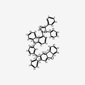 c1ccc(-c2nnc(-c3cccc4c3c3ccccc3n4-c3cccc(-n4c5ccccc5c5cc6oc7ccccc7c6cc54)c3)n2-c2ccccc2)cc1